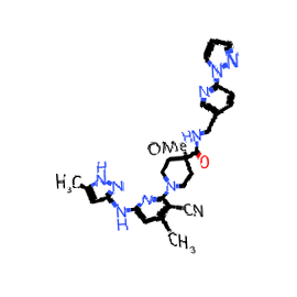 COC1(C(=O)NCc2ccc(-n3cccn3)nc2)CCN(c2nc(Nc3cc(C)[nH]n3)cc(C)c2C#N)CC1